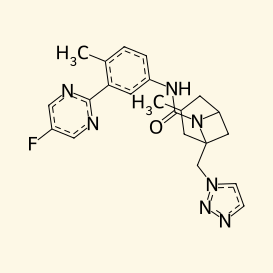 Cc1ccc(NC(=O)N2C3CC(C)CC2(Cn2ccnn2)C3)cc1-c1ncc(F)cn1